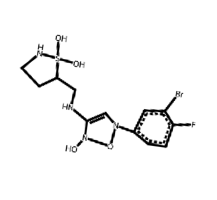 ON1ON(c2ccc(F)c(Br)c2)C=C1NCC1CCNS1(O)O